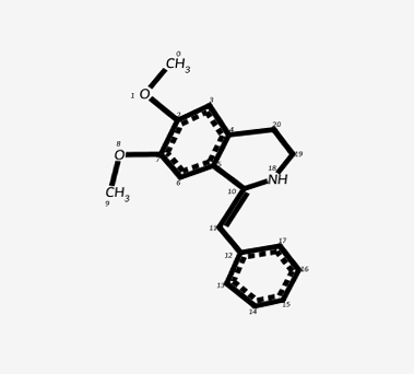 COc1cc2c(cc1OC)C(=Cc1ccccc1)NCC2